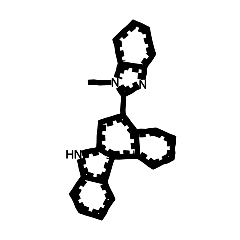 Cn1c(-c2cc3[nH]c4ccccc4c3c3ccccc23)nc2ccccc21